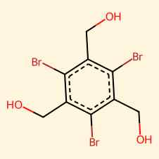 OCc1c(Br)c(CO)c(Br)c(CO)c1Br